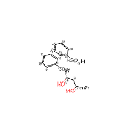 CCCC(O)CC(O)CCC.O=S(=O)(O)c1ccccc1.O=S(=O)(O)c1ccccc1